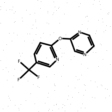 FC(F)(F)c1ccc(Oc2cnccn2)nc1